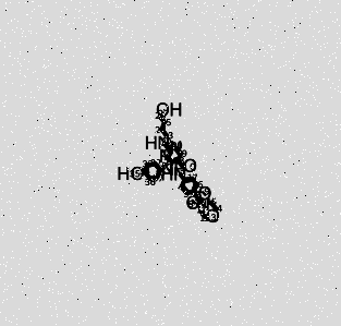 O=C(Nc1ccc(S(=O)(=O)N2CCOCC2)cc1)c1cnc(NCCCCO)nc1N[C@H]1CC[C@H](O)CC1